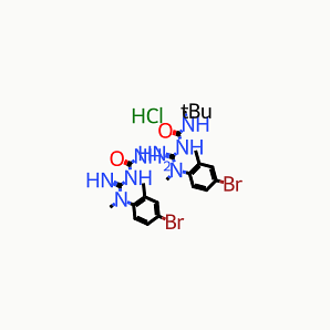 Cc1cc(Br)ccc1N(C)C(=N)NC(=O)NC(C)(C)C.Cc1cc(Br)ccc1N(C)C(=N)NC(N)=O.Cl